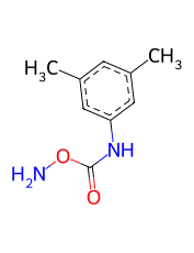 Cc1cc(C)cc(NC(=O)ON)c1